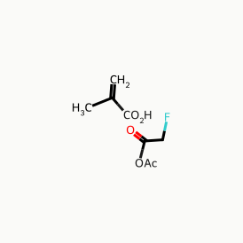 C=C(C)C(=O)O.CC(=O)OC(=O)CF